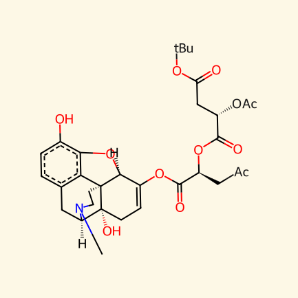 CC(=O)C[C@H](OC(=O)[C@H](CC(=O)OC(C)(C)C)OC(C)=O)C(=O)OC1=CC[C@@]2(O)[C@H]3Cc4ccc(O)c5c4[C@@]2(CCN3C)[C@H]1O5